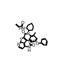 C=CC(=O)N[C@@H]1CCCCC1N(C(=O)c1sc2nccc3c2c1NC(=O)N3)c1ccc(Oc2ccccc2)cc1C